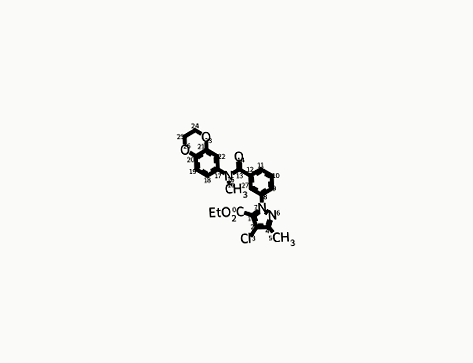 CCOC(=O)c1c(Cl)c(C)nn1-c1cccc(C(=O)N(C)c2ccc3c(c2)OCCO3)c1